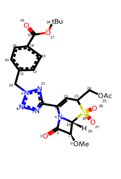 CO[C@H]1C(=O)N2C(c3nnn(Cc4ccc(C(=O)OC(C)(C)C)cc4)n3)=CC(COC(C)=O)S(=O)(=O)[C@H]12